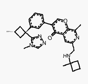 Cc1nc(CNC2(C)CCC2)cc2c(=O)c(-c3cccc([C@]4(c5nncn5C)C[C@@H](C)C4)c3)coc12